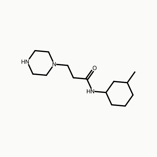 CC1CCCC(NC(=O)CCN2CCNCC2)C1